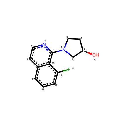 O[C@@H]1CCN(c2nc[c]c3cccc(F)c23)C1